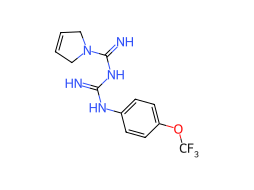 N=C(NC(=N)N1CC=CC1)Nc1ccc(OC(F)(F)F)cc1